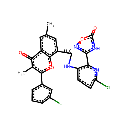 Cc1cc(C(C)Nc2ccc(Cl)nc2-c2noc(=O)[nH]2)c2oc(-c3cccc(F)c3)c(C)c(=O)c2c1